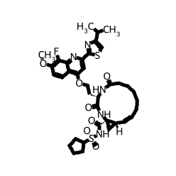 COc1ccc2c(OCC[C@@H]3NC(=O)CCCCC/C=C\[C@@H]4C[C@@]4(C(=O)NS(=O)(=O)C4CCCC4)NC3=O)cc(-c3nc(C(C)C)cs3)nc2c1F